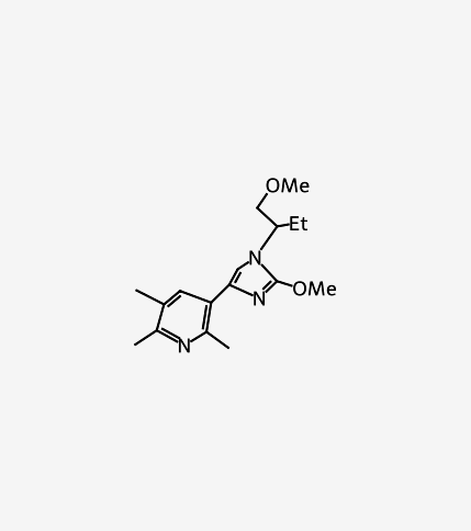 CCC(COC)n1cc(-c2cc(C)c(C)nc2C)nc1OC